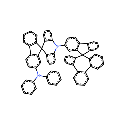 c1ccc(N(c2ccccc2)c2ccc3c(c2)C2(c4ccccc4-3)c3ccccc3N(c3ccc4c(c3)C3(c5ccccc5-c5ccccc5-c5ccccc53)c3ccccc3-4)c3ccccc32)cc1